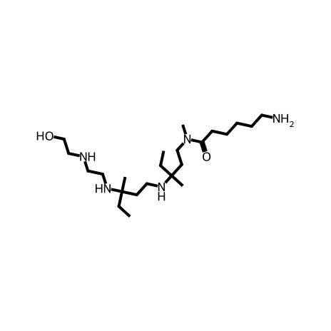 CCC(C)(CCNC(C)(CC)CCN(C)C(=O)CCCCCN)NCCNCCO